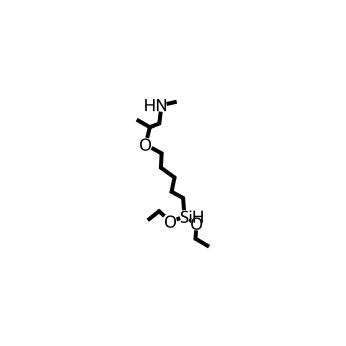 CCO[SiH](CCCCCOC(C)CNC)OCC